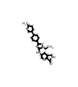 CCn1nc(-c2ccc(-c3ccc(C)nc3)cc2)nc1Nc1cnc2c(c1)CNC2=O